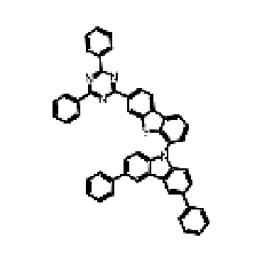 c1ccc(-c2ccc3c(c2)c2cc(-c4ccccc4)ccc2n3-c2cccc3c2sc2cc(-c4nc(-c5ccccc5)nc(-c5ccccc5)n4)ccc23)cc1